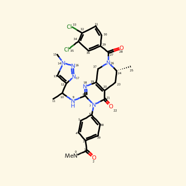 CNC(=O)c1ccc(-n2c(NC(C)c3cn(C)nn3)nc3c(c2=O)C[C@@H](C)N(C(=O)c2ccc(Cl)c(Cl)c2)C3)cc1